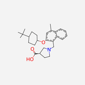 Cc1cc(OC2CCC(C(C)(C)C)CC2)c(CN2CC[C@@H](C(=O)O)C2)c2ccccc12